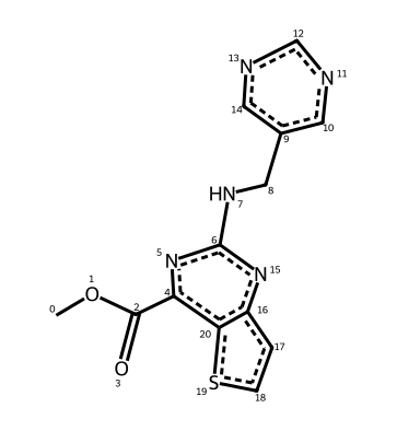 COC(=O)c1nc(NCc2cncnc2)nc2ccsc12